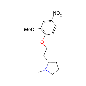 COc1cc([N+](=O)[O-])ccc1OCCC1CCCN1C